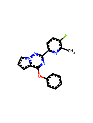 Cc1nc(-c2nc(Oc3ccccc3)c3cccn3n2)ccc1F